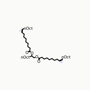 CCCCCCCC/C=C\CCCCCCCC(=O)OCC(CCCCCCCC)OC(=O)CCCCCCC/C=C\CCCCCCCC